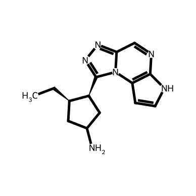 CC[C@@H]1CC(N)C[C@@H]1c1nnc2cnc3[nH]ccc3n12